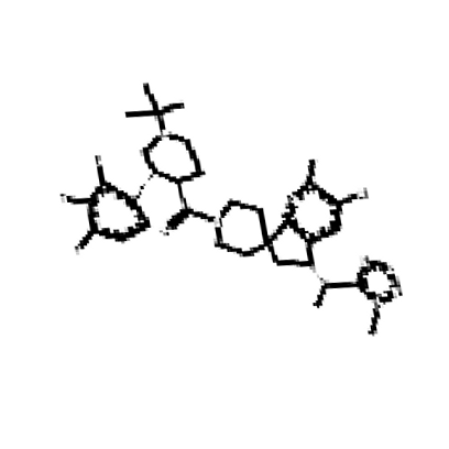 Cc1nc2c(cc1Cl)[C@H](C(C)c1nnnn1C)CC21CCN(C(=O)[C@@H]2CCN(C(C)(C)C)C[C@H]2c2ccc(F)c(F)c2F)CC1